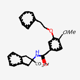 COc1ccc(C(=O)NC2(C(=O)O)Cc3ccccc3C2)cc1OCCc1ccccc1